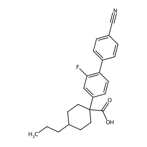 CCCC1CCC(C(=O)O)(c2ccc(-c3ccc(C#N)cc3)c(F)c2)CC1